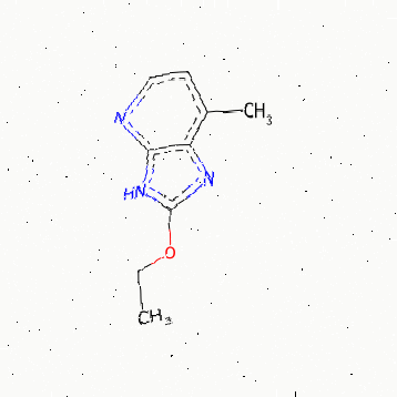 CCOc1nc2c(C)ccnc2[nH]1